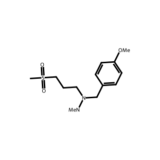 CNN(CCCS(C)(=O)=O)Cc1ccc(OC)cc1